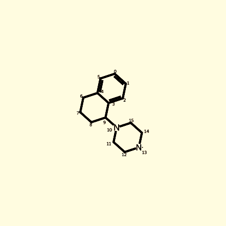 c1ccc2c(c1)CCCC2N1CC[N]CC1